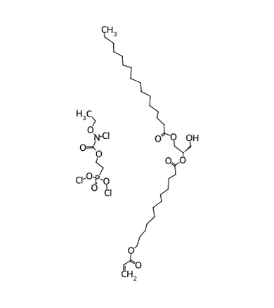 C=CC(=O)OCCCCCCCCCCCC(=O)O[C@H](CO)COC(=O)CCCCCCCCCCCCCCC.CCON(Cl)C(=O)OCCP(=O)(OCl)OCl